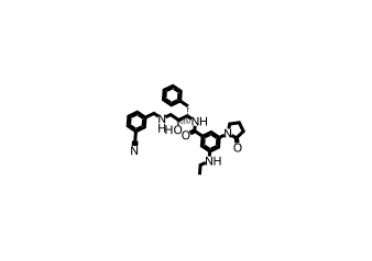 CCNc1cc(C(=O)N[C@@H](Cc2ccccc2)[C@H](O)CNCc2cccc(C#N)c2)cc(N2CCCC2=O)c1